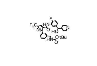 CC(C)(C)OC(=O)NCc1cccc(-n2nc(C(F)(F)F)cc2C(=O)Nc2cc(C(O)c3ccncc3)ccc2F)c1